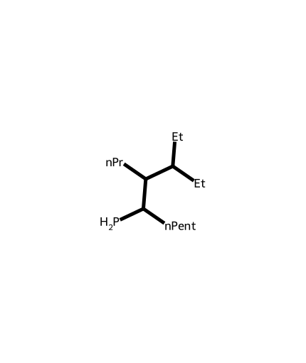 CCCCCC(P)C(CCC)C(CC)CC